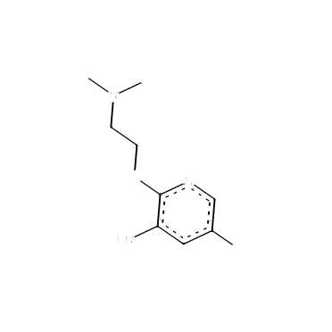 CN(C)CCOc1ncc(Cl)cc1N